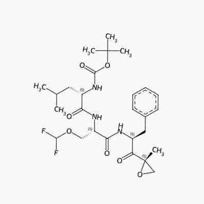 CC(C)C[C@H](NC(=O)OC(C)(C)C)C(=O)N[C@@H](COC(F)F)C(=O)N[C@@H](Cc1ccccc1)C(=O)[C@]1(C)CO1